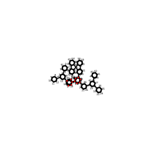 c1ccc(-c2cc(-c3ccccc3)cc(-c3cccc(-c4nc(-c5cccc(-c6cc(-c7ccccc7)cc(-c7ccccc7)c6)c5)nc(-c5ccc6c(c5)C5(c7ccccc7-6)c6ccccc6-c6ccc(-n7c8ccccc8c8ccccc87)cc65)n4)c3)c2)cc1